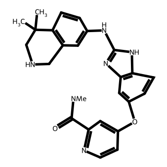 CNC(=O)c1cc(Oc2ccc3[nH]c(Nc4ccc5c(c4)CNCC5(C)C)nc3c2)ccn1